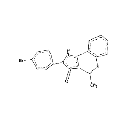 CC1Sc2ccccc2-c2[nH]n(-c3ccc(Br)cc3)c(=O)c21